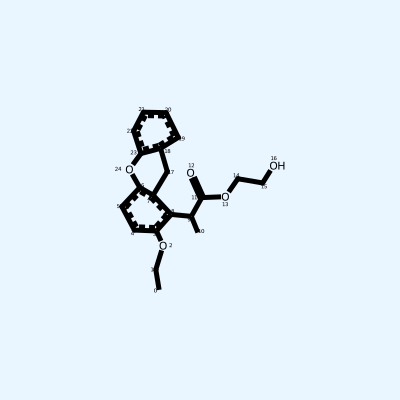 CCOc1ccc2c(c1C(C)C(=O)OCCO)Cc1ccccc1O2